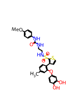 COc1ccc(NC(=O)NCCNS(=O)(=O)c2sccc2-c2ccc(C)cc2Oc2ccc(O)c(O)c2)cc1